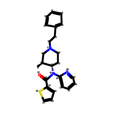 C[C@H]1CN(CCc2ccccc2)CC[C@@H]1N(C(=O)c1cccs1)c1ccccn1